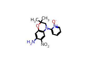 CC1(C)CN(c2cccc[n+]2[O-])c2cc([N+](=O)[O-])c(N)cc2O1